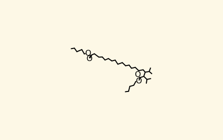 CCCCCOC(=O)CCCCCCCCCCCCCCCC(C(C)C)C(C(=O)OCCCCC)C(C)C